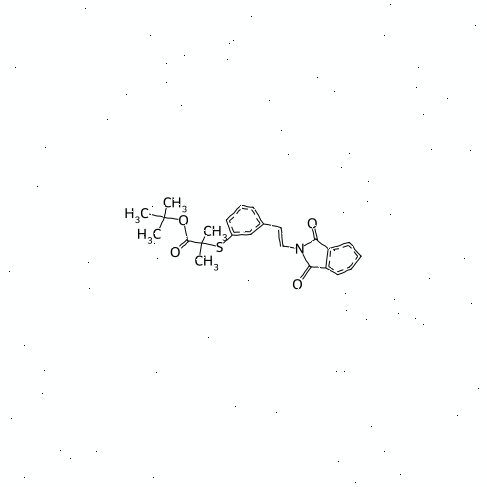 CC(C)(C)OC(=O)C(C)(C)Sc1cccc(C=CN2C(=O)c3ccccc3C2=O)c1